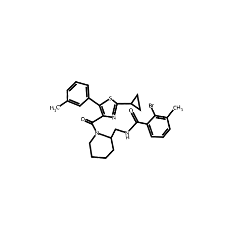 Cc1cccc(-c2sc(C3CC3)nc2C(=O)N2CCCCC2CNC(=O)c2cccc(C)c2Br)c1